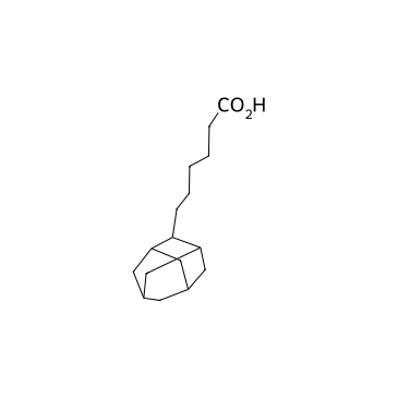 O=C(O)CCCCCC1C2CC3CC(C2)CC1C3